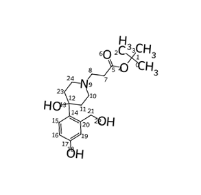 CC(C)(C)OC(=O)CCN1CCC(O)(c2ccc(O)cc2CO)CC1